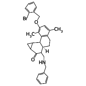 Cc1cc(OCc2ccccc2Br)c(C)c2c1CC[C@H]1C(CNCc3ccccc3)C(=O)C3CC3C21